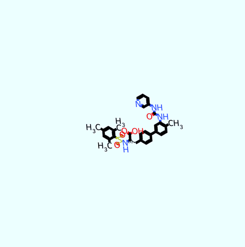 Cc1cc(C)c(S(=O)(=O)N[C@@H](Cc2ccc(-c3ccc(C)c(NC(=O)Nc4cccnc4)c3)cc2)C(=O)O)c(C)c1